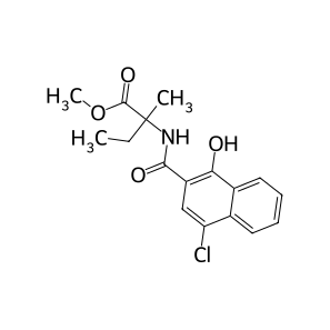 CCC(C)(NC(=O)c1cc(Cl)c2ccccc2c1O)C(=O)OC